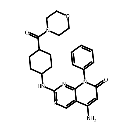 Nc1cc(=O)n(-c2ccccc2)c2nc(NC3CCC(C(=O)N4CCOCC4)CC3)ncc12